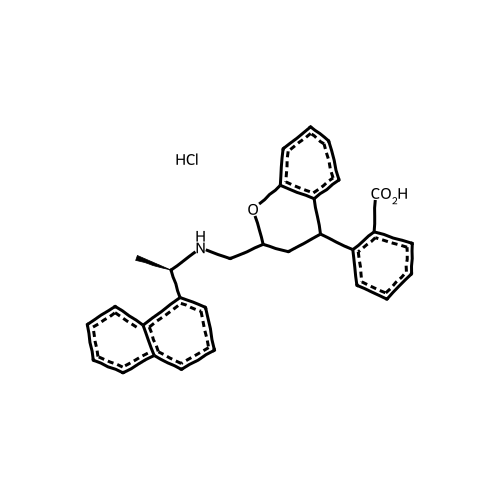 C[C@@H](NCC1CC(c2ccccc2C(=O)O)c2ccccc2O1)c1cccc2ccccc12.Cl